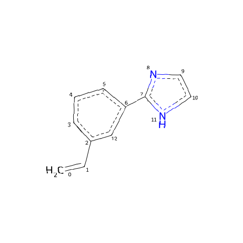 C=Cc1cc[c]c(-c2ncc[nH]2)c1